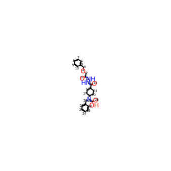 O=C(COCc1ccccc1)NNC(=O)C1CCC(N(Cc2ccccc2)C(=O)O)CC1